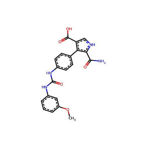 COc1cccc(NC(=O)Nc2ccc(-c3c(C(=O)O)c[nH]c3C(N)=O)cc2)c1